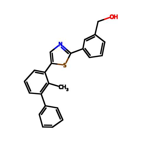 Cc1c(-c2ccccc2)cccc1-c1cnc(-c2cccc(CO)c2)s1